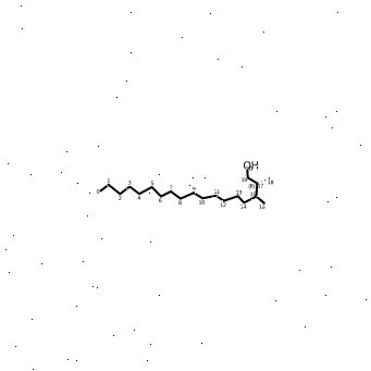 CCCCCCCCCCCCCCCC(C)[C@@H](C)CO